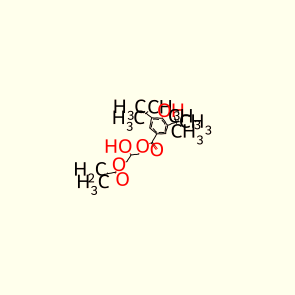 C=C(C)C(=O)OCC(O)COC(=O)c1cc(C(C)(C)C)c(O)c(C(C)(C)C)c1